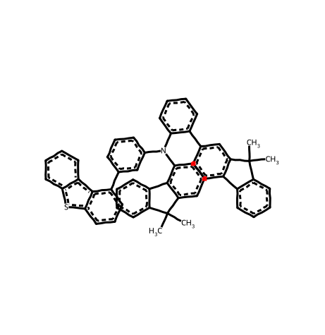 CC1(C)c2ccccc2-c2ccc(-c3ccccc3N(c3cccc(-c4cccc5sc6ccccc6c45)c3)c3cccc4c3-c3ccccc3C4(C)C)cc21